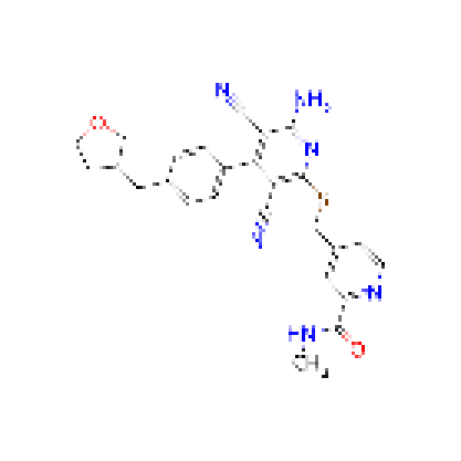 CNC(=O)c1cc(CSc2nc(N)c(C#N)c(-c3ccc(CC4CCOC4)cc3)c2C#N)ccn1